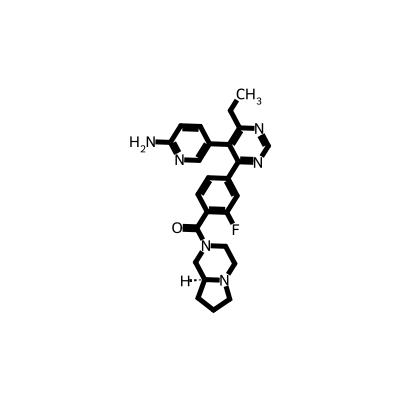 CCc1ncnc(-c2ccc(C(=O)N3CCN4CCC[C@H]4C3)c(F)c2)c1-c1ccc(N)nc1